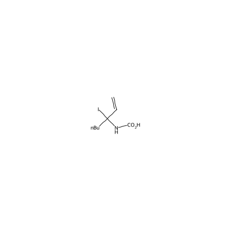 C=CC(I)(CCCC)NC(=O)O